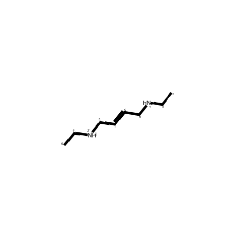 CCNCC=CCNCC